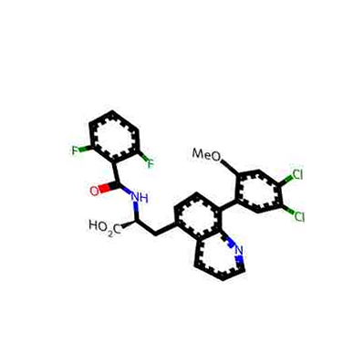 COc1cc(Cl)c(Cl)cc1-c1ccc(C[C@H](NC(=O)c2c(F)cccc2F)C(=O)O)c2cccnc12